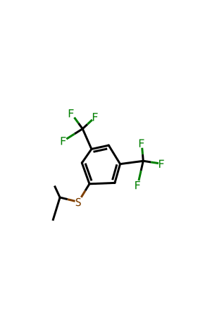 CC(C)Sc1cc(C(F)(F)F)cc(C(F)(F)F)c1